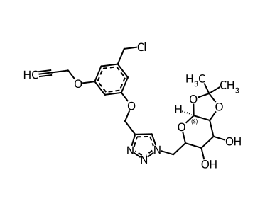 C#CCOc1cc(CCl)cc(OCc2cn(CC3O[C@H]4OC(C)(C)OC4C(O)C3O)nn2)c1